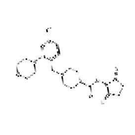 O=C(ON1C(=O)CCC1=O)N1CCN(Cc2ccc(C(F)(F)F)cc2N2CCOCC2)CC1